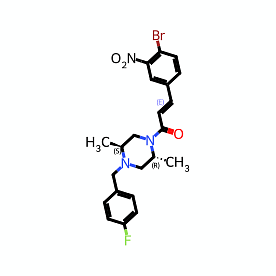 C[C@@H]1CN(Cc2ccc(F)cc2)[C@@H](C)CN1C(=O)/C=C/c1ccc(Br)c([N+](=O)[O-])c1